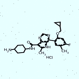 Cc1cc(-c2ncnc3c(C(=O)NC4CCC(N)CC4)c(C)[nH]c23)c(OCC2CC2)cc1F.Cl